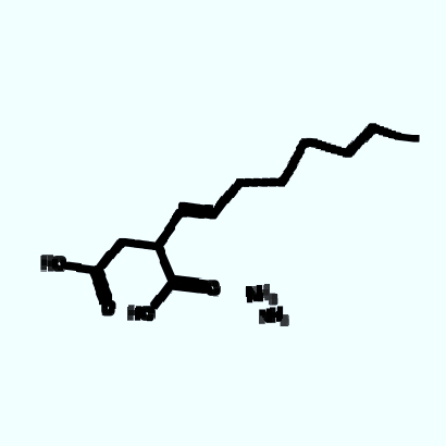 CCCCCC/C=C/C(CC(=O)O)C(=O)O.N.N